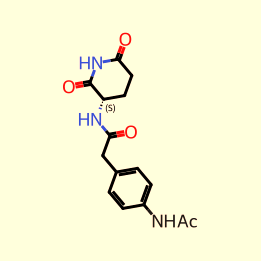 CC(=O)Nc1ccc(CC(=O)N[C@H]2CCC(=O)NC2=O)cc1